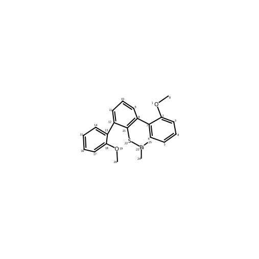 COc1ccccc1-c1cccc(-c2ccccc2OC)c1[S][Bi]([CH3])[CH3]